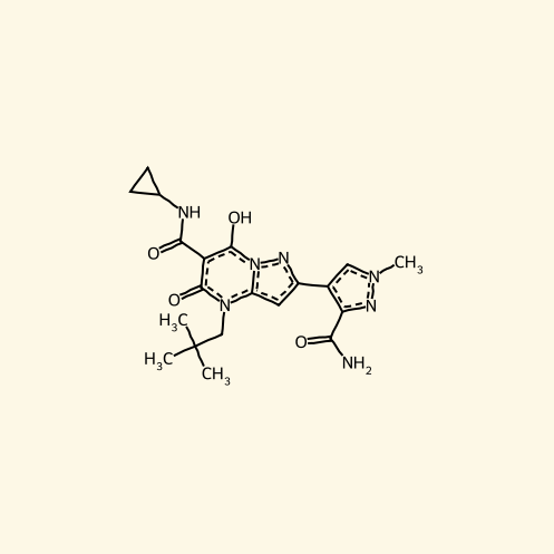 Cn1cc(-c2cc3n(CC(C)(C)C)c(=O)c(C(=O)NC4CC4)c(O)n3n2)c(C(N)=O)n1